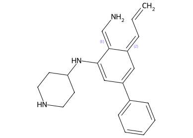 C=C/C=c1/cc(-c2ccccc2)cc(NC2CCNCC2)/c1=C/N